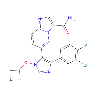 NC(=O)c1cnc2ccc(-c3c(-c4ccc(F)c(Cl)c4)ncn3OC3CCC3)nn12